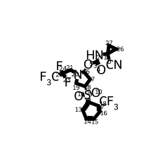 N#CC1(NC(=O)O[C@H]2C[C@@H](S(=O)(=O)c3ccccc3C(F)(F)F)CN2CC(F)(F)C(F)(F)F)CC1